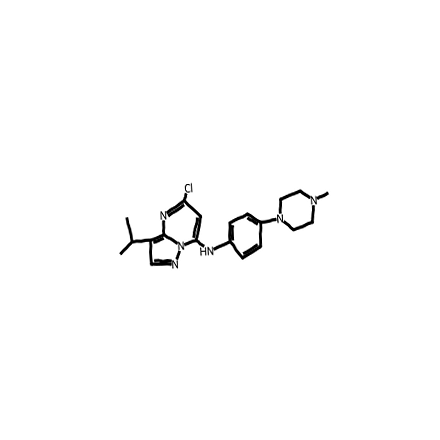 CC(C)c1cnn2c(Nc3ccc(N4CCN(C)CC4)cc3)cc(Cl)nc12